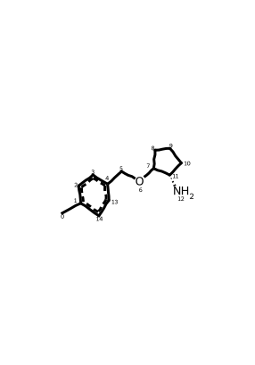 Cc1ccc(COC2CCC[C@@H]2N)cc1